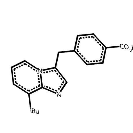 CCC(C)c1cccn2c(Cc3ccc(C(=O)O)cc3)cnc12